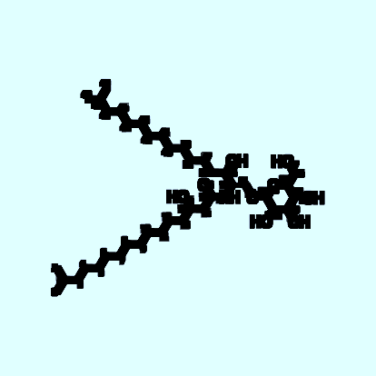 CC(C)CCCCCCCCCCC[C@H](O)CC(=O)N[C@@H](CO[C@H]1OC(CO)[C@H](O)C(O)C1O)[C@H](O)CCCCCCCCCCCC(C)C